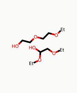 CCOCC(O)OCC.CCOCCOCCO